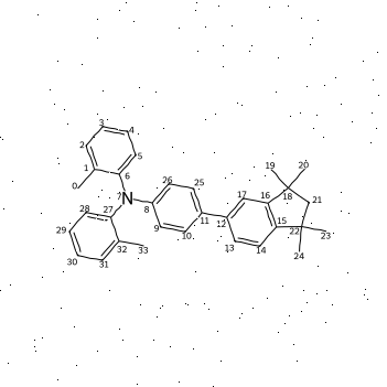 Cc1ccccc1N(c1ccc(-c2ccc3c(c2)C(C)(C)CC3(C)C)cc1)c1ccccc1C